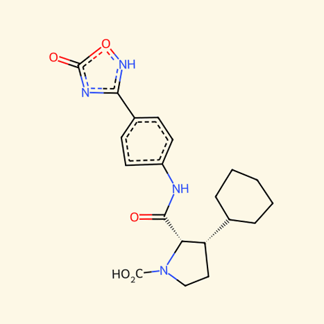 O=C(Nc1ccc(-c2nc(=O)o[nH]2)cc1)[C@@H]1[C@H](C2CCCCC2)CCN1C(=O)O